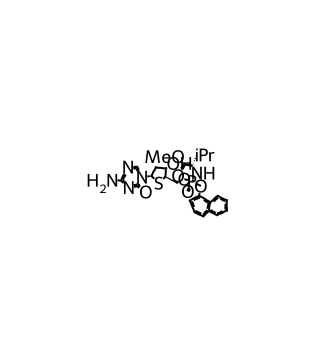 COC(=O)[C@@H](NP(=O)(OC[C@H]1S[C@@H](n2cnc(N)nc2=O)C[C@H]1O)Oc1cccc2ccccc12)C(C)C